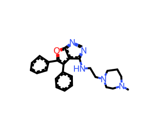 CN1CCCN(CCNc2ncnc3oc(-c4ccccc4)c(-c4ccccc4)c23)CC1